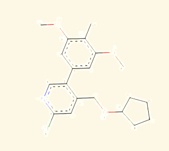 COc1cc(-c2cnc(Cl)cc2COC2CCCC2)cc(OC)c1C